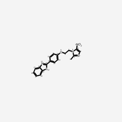 Cc1ncc([N+](=O)[O-])n1CCOc1ccc(-c2nc3ccccc3s2)cc1